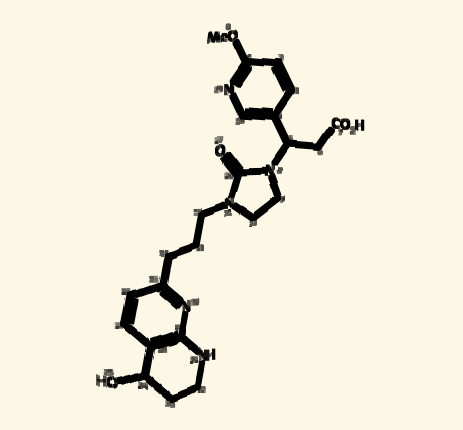 COc1ccc(C(CC(=O)O)N2CCN(CCCc3ccc4c(n3)NCCC4O)C2=O)cn1